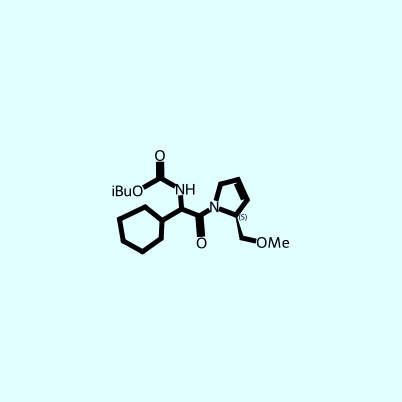 COC[C@@H]1C=CCN1C(=O)C(NC(=O)OCC(C)C)C1CCCCC1